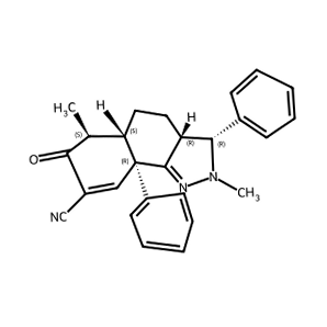 C[C@@H]1C(=O)C(C#N)=C[C@]2(c3ccccc3)C3=NN(C)[C@@H](c4ccccc4)[C@H]3CC[C@@H]12